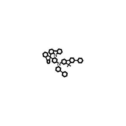 CC1(C)c2cc(-c3ccccc3)ccc2-c2ccc(N(c3cccc(-c4ccccc4)c3)c3ccc4c(c3)-n3c5ccccc5c5cccc(c53)C43c4ccccc4-c4ccccc43)cc21